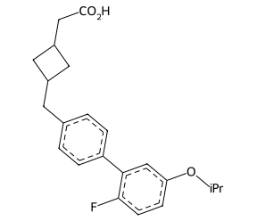 CC(C)Oc1ccc(F)c(-c2ccc(CC3CC(CC(=O)O)C3)cc2)c1